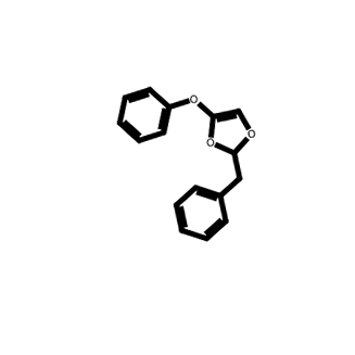 [c]1cccc(OC2=COC(Cc3ccccc3)O2)c1